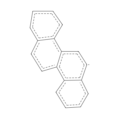 [c]1cc2c3ccccc3ccc2c2ccccc12